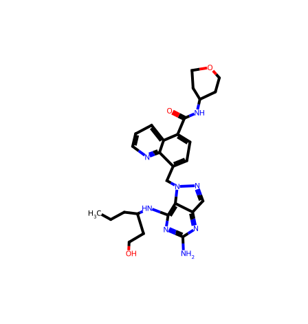 CCCC(CCO)Nc1nc(N)nc2cnn(Cc3ccc(C(=O)NC4CCOCC4)c4cccnc34)c12